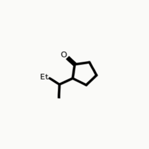 CCC(C)C1CCCC1=O